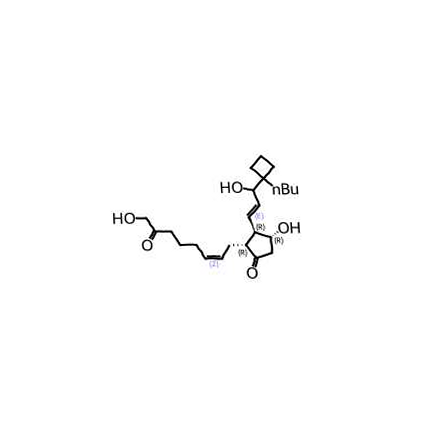 CCCCC1(C(O)/C=C/[C@H]2[C@H](O)CC(=O)[C@@H]2C/C=C\CCCC(=O)CO)CCC1